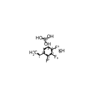 C=Cc1ccc(F)c(F)c1F.OB(O)O.[KH]